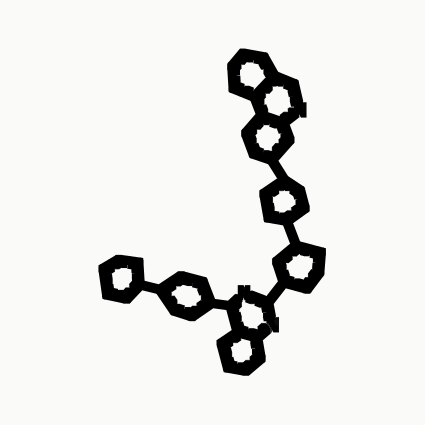 c1ccc(-c2ccc(-c3nc(-c4cccc(-c5ccc(-c6ccc7c(c6)ncc6ccccc67)cc5)c4)nc4ccccc34)cc2)cc1